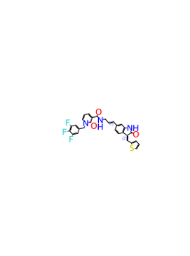 O=C1Nc2cc(/C=C/CNC(=O)c3cccn(Cc4cc(F)c(F)c(F)c4)c3=O)ccc2/C1=C/c1cccs1